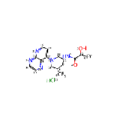 CC(C)[C@H](O)C(=O)N[C@@H]1C[C@H](C(F)(F)F)CN(c2ccnc3nccnc23)C1.Cl